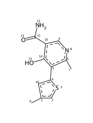 Cc1csc(-c2c(C)ncc(C(N)=O)c2O)c1